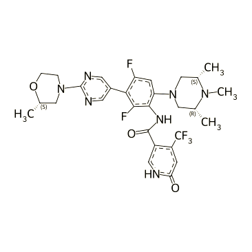 C[C@@H]1CN(c2cc(F)c(-c3cnc(N4CCO[C@@H](C)C4)nc3)c(F)c2NC(=O)c2c[nH]c(=O)cc2C(F)(F)F)C[C@H](C)N1C